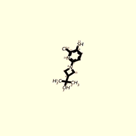 CC(C)(O)C1CN(c2ccc(S)c(Cl)n2)C1